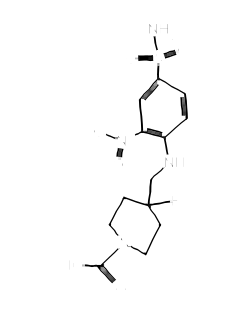 NS(=O)(=O)c1ccc(NCC2(F)CCN(C(=O)O)CC2)c([N+](=O)[O-])c1